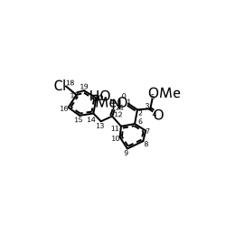 CO/C=C(/C(=O)OC)c1ccccc1/C(Cc1ccc(Cl)cc1)=N/O